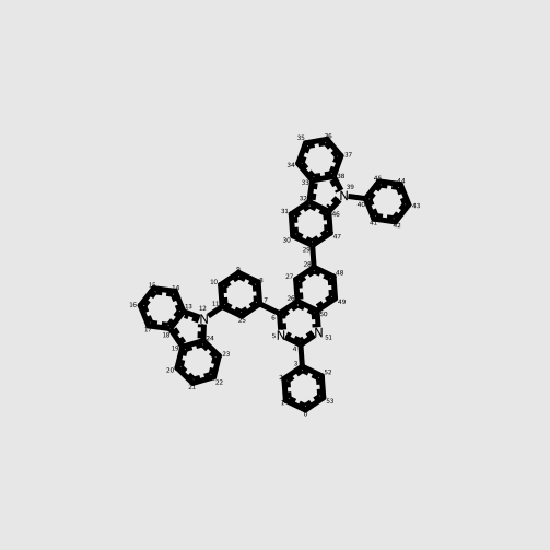 c1ccc(-c2nc(-c3cccc(-n4c5ccccc5c5ccccc54)c3)c3cc(-c4ccc5c6ccccc6n(-c6ccccc6)c5c4)ccc3n2)cc1